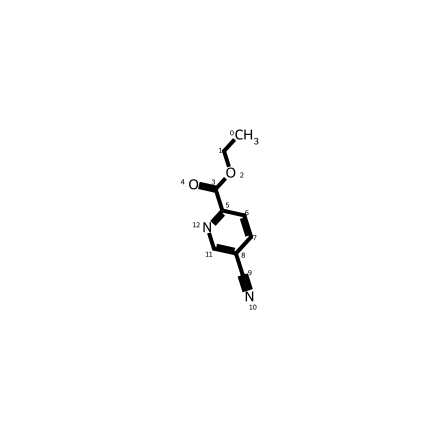 CCOC(=O)c1ccc(C#N)cn1